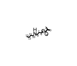 C=C(C)C(=O)OCCCNCCCC